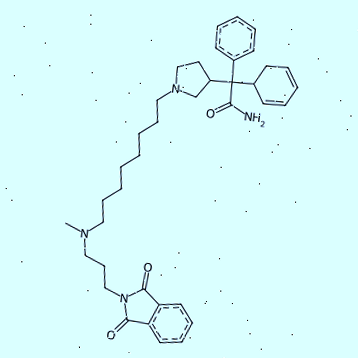 CN(CCCCCCCCN1CCC(C(C(N)=O)(c2ccccc2)C2C=CC=CC2)C1)CCCN1C(=O)c2ccccc2C1=O